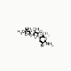 C=C1N=C(N)C(Br)=C[C@@H]1C1O[C@H](CCP(=C)(C)C)[C@@H](O)[C@H]1O